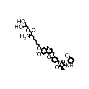 COc1cc2c(Oc3ccc(NC(=O)C4(C(=O)Nc5cccc(Cl)c5)CC4)cc3F)ccnc2cc1OCCCCCC(N)C(=O)OCC(CO)CO